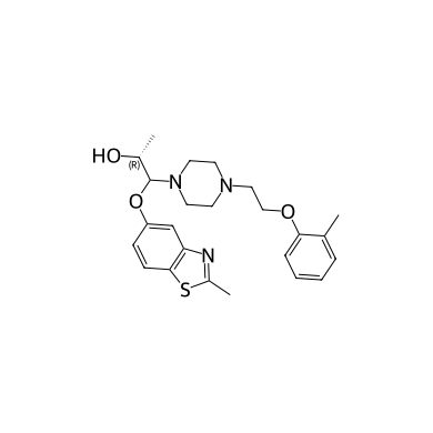 Cc1nc2cc(OC([C@@H](C)O)N3CCN(CCOc4ccccc4C)CC3)ccc2s1